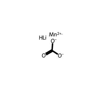 O=C([O-])[O-].[LiH].[Mn+2]